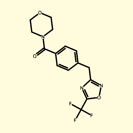 O=C(c1ccc(Cc2noc(C(F)(F)F)n2)cc1)N1CCOCC1